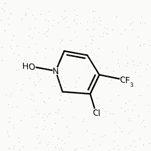 ON1C=CC(C(F)(F)F)=C(Cl)C1